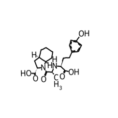 C[C@H](N[C@@H](CCc1ccc(O)cc1)C(=O)O)C(=O)N1[C@H](C(=O)O)C[C@H]2CCCC[C@@H]21